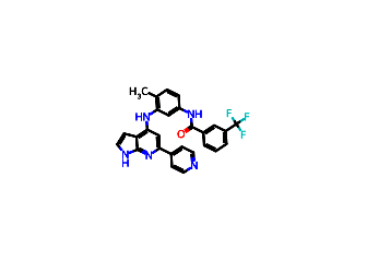 Cc1ccc(NC(=O)c2cccc(C(F)(F)F)c2)cc1Nc1cc(-c2ccncc2)nc2[nH]ccc12